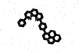 C1=Cc2ccc3ccc(-c4ccc(-c5ccc6ccc7ccc(-c8ccccc8)nc7c6n5)cc4)c4c3c2C(=CC4)C1